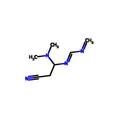 C=NC=NC(CC#N)N(C)C